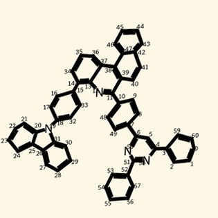 c1ccc(-c2cc(-c3ccc(-c4nc5c(-c6ccc(-n7c8ccccc8c8ccccc87)cc6)cccc5c5c4ccc4ccccc45)cc3)nc(-c3ccccc3)n2)cc1